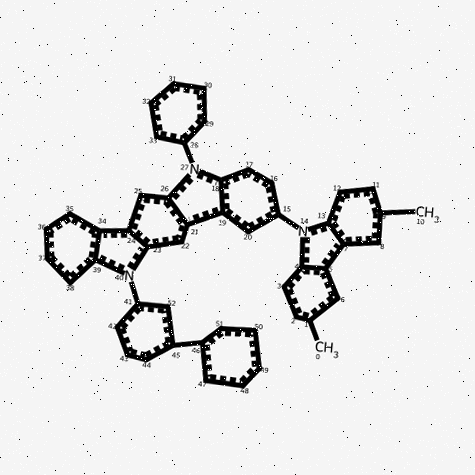 Cc1ccc2c(c1)c1cc(C)ccc1n2-c1ccc2c(c1)c1cc3c(cc1n2-c1ccccc1)c1ccccc1n3-c1cccc(-c2ccccc2)c1